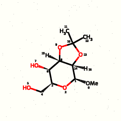 CO[C@H]1O[C@H](CO)[C@H](O)[C@H]2OC(C)(C)O[C@@H]12